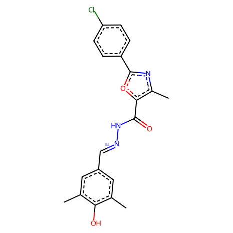 Cc1cc(/C=N/NC(=O)c2oc(-c3ccc(Cl)cc3)nc2C)cc(C)c1O